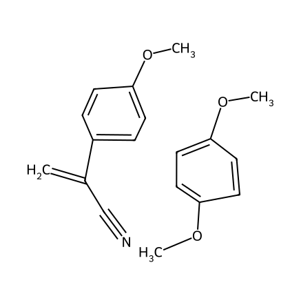 C=C(C#N)c1ccc(OC)cc1.COc1ccc(OC)cc1